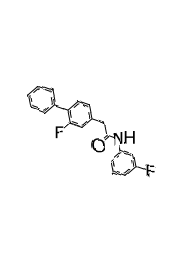 O=C(Cc1ccc(-c2ccccc2)c(F)c1)Nc1cccc(F)c1